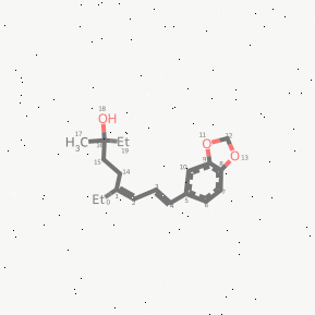 CCC(=CC=Cc1ccc2c(c1)OCO2)CCC(C)(O)CC